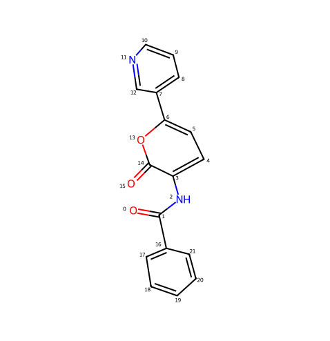 O=C(Nc1ccc(-c2cccnc2)oc1=O)c1ccccc1